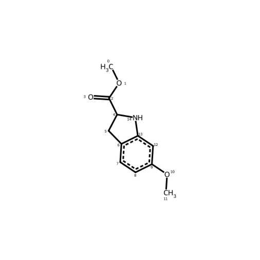 COC(=O)C1Cc2ccc(OC)cc2N1